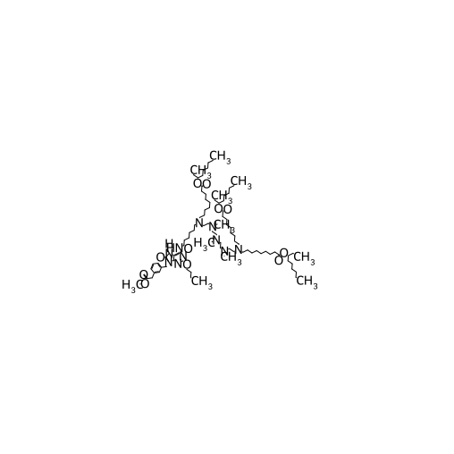 CCCCCCC(CC)OC(=O)CCCCCCCCN(CCCCCCCCC(=O)OC(CC)CCCCCC)CCN(C)CCN(C)CCN(C)CCN(CCCCCCCCC(=O)OC(CC)CCCCCC)CCCCCC(=O)Nc1nc(OCCCC)nc2c1[nH]c(=O)n2Cc1cccc(CC(=O)OC)c1